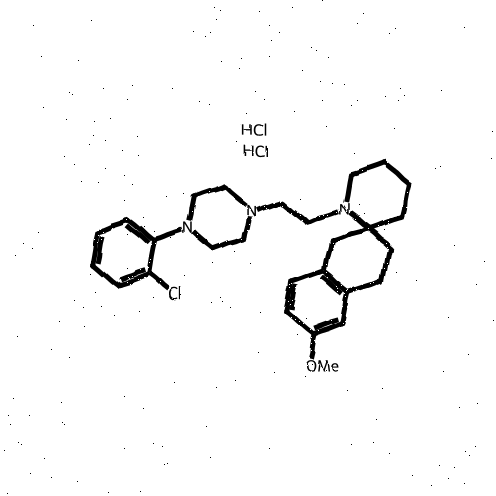 COc1ccc2c(c1)CCC1(CCCCN1CCN1CCN(c3ccccc3Cl)CC1)C2.Cl.Cl